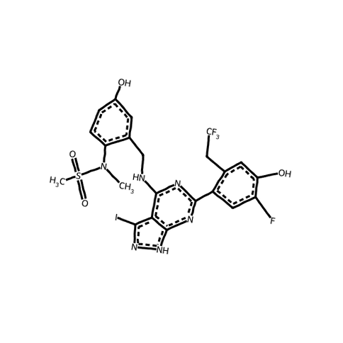 CN(c1ccc(O)cc1CNc1nc(-c2cc(F)c(O)cc2CC(F)(F)F)nc2[nH]nc(I)c12)S(C)(=O)=O